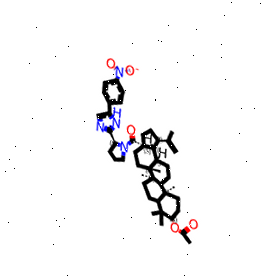 C=C(C)[C@@H]1CC[C@]2(C(=O)N3CCC[C@H]3c3ncc(-c4ccc([N+](=O)[O-])cc4)[nH]3)CC[C@]3(C)[C@H](CCC4[C@@]5(C)CC[C@H](OC(C)=O)C(C)(C)C5CC[C@]43C)[C@@H]12